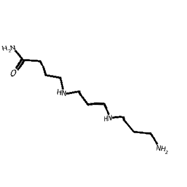 NCCCNCCCNCCCC(N)=O